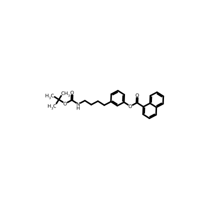 CC(C)(C)OC(=O)NCCCCc1cccc(OC(=O)c2cccc3ccccc23)c1